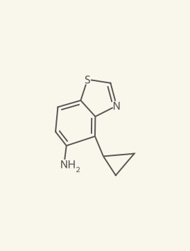 Nc1ccc2scnc2c1C1CC1